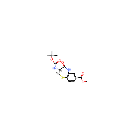 COC(=O)c1ccc2c(c1)NC(=O)[C@@H](NC(=O)OC(C)(C)C)[C@@H](C)S2